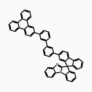 c1cc(-c2cccc(-c3ccc4c5ccccc5c5ccccc5c4c3)c2)cc(-c2ccc3c(c2)C2(c4ccccc4-3)c3ccccc3-n3c2nc2ccccc23)c1